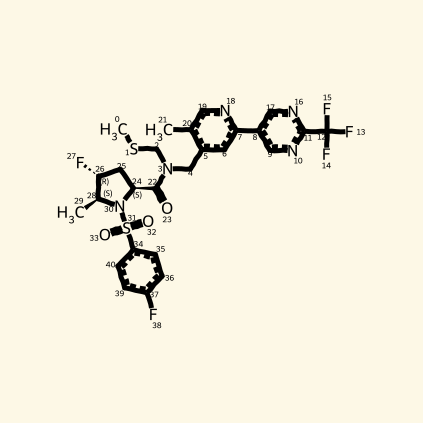 CSCN(Cc1cc(-c2cnc(C(F)(F)F)nc2)ncc1C)C(=O)[C@@H]1C[C@@H](F)[C@H](C)N1S(=O)(=O)c1ccc(F)cc1